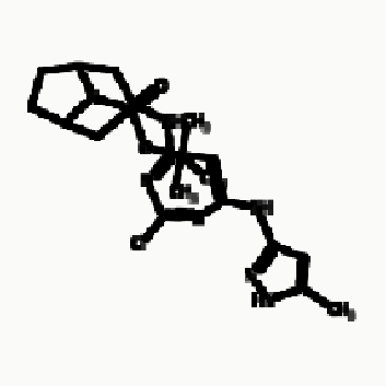 Cc1cc(Nc2cc(NC3CC4CCC(C3)N4C(=O)OC(C)(C)C)nc(Cl)n2)n[nH]1